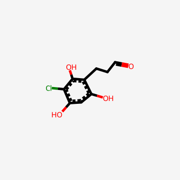 O=CCCc1c(O)cc(O)c(Cl)c1O